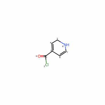 O=C(Cl)C1=CCNC=C1